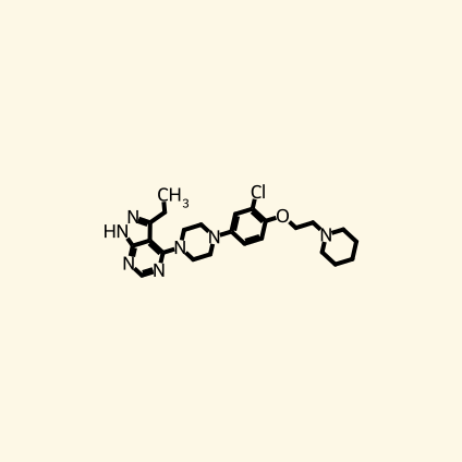 CCc1n[nH]c2ncnc(N3CCN(c4ccc(OCCN5CCCCC5)c(Cl)c4)CC3)c12